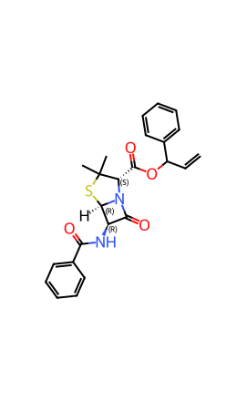 C=CC(OC(=O)[C@@H]1N2C(=O)[C@@H](NC(=O)c3ccccc3)[C@H]2SC1(C)C)c1ccccc1